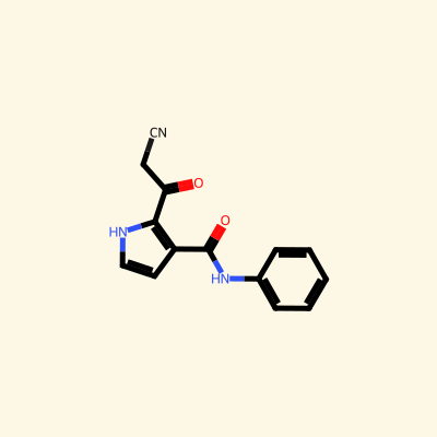 N#CCC(=O)c1[nH]ccc1C(=O)Nc1ccccc1